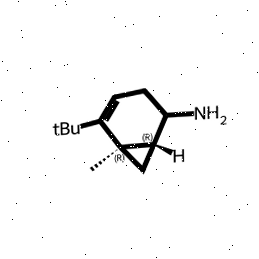 CC(C)(C)C1=CCC(N)[C@@H]2C[C@@]12C